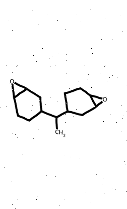 CC(C1CCC2OC2C1)C1CCC2OC2C1